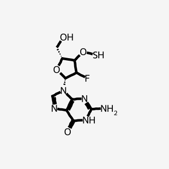 Nc1nc2c(ncn2[C@@H]2O[C@H](CO)C(OS)C2F)c(=O)[nH]1